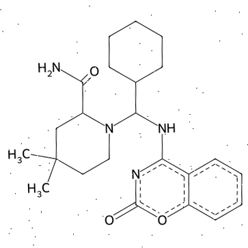 CC1(C)CCN(C(Nc2nc(=O)oc3ccccc23)C2CCCCC2)C(C(N)=O)C1